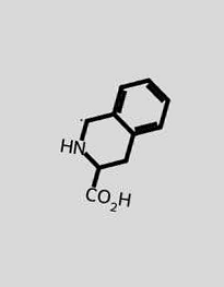 O=C(O)C1Cc2ccccc2[CH]N1